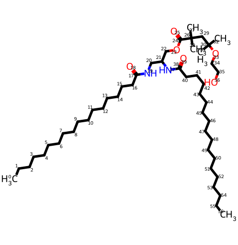 CCCCCCCCCCCCCCCCCC(=O)NCC(COC(=O)C(C)(C)CC(C)(C)OCCO)NC(=O)CCCCCCCCCCCCCCCCC